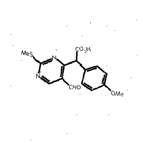 COc1ccc(C(C(=O)O)c2nc(SC)ncc2C=O)cc1